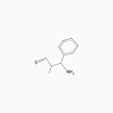 CC(C=S)C(N)c1ccccc1